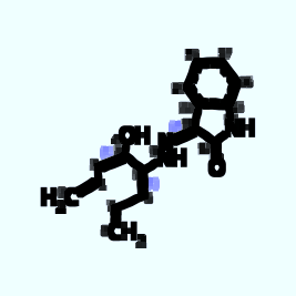 C=C/C=C(O)\C(=C/C=C)N/N=C1\C(=O)Nc2ccccc21